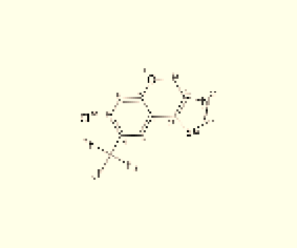 FC(F)(F)c1cc2c(cc1Cl)OCc1ncsc1-2